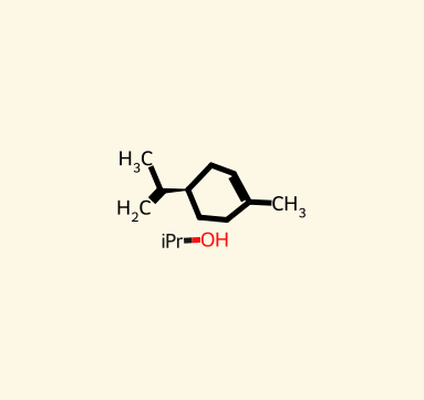 C=C(C)[C@H]1CC=C(C)CC1.CC(C)O